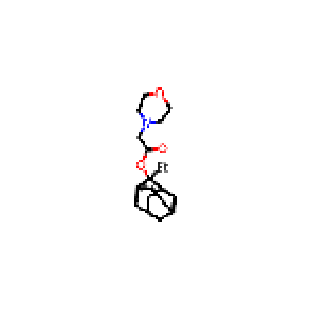 CCC1(OC(=O)CN2CCOCC2)C2CC3CC(C2)CC1C3